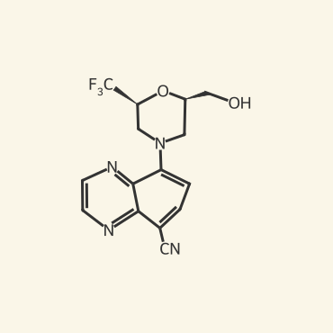 N#Cc1ccc(N2C[C@H](CO)O[C@H](C(F)(F)F)C2)c2nccnc12